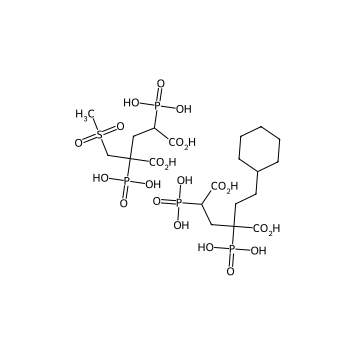 CS(=O)(=O)CC(CC(C(=O)O)P(=O)(O)O)(C(=O)O)P(=O)(O)O.O=C(O)C(CC(CCC1CCCCC1)(C(=O)O)P(=O)(O)O)P(=O)(O)O